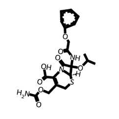 CC(C)OC1(NC(=O)COc2ccccc2)C(=O)N2C(C(=O)O)=C(COC(N)=O)CS[C@@H]21